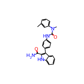 Cc1cccc(N(C)C(=O)Nc2ccc(-c3c(C(N)=O)[nH]c4ccccc34)cc2)c1